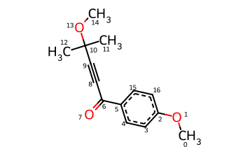 COc1ccc(C(=O)C#CC(C)(C)OC)cc1